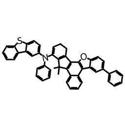 CC1(C)C2=C(CCC=C2N(c2ccccc2)c2ccc3sc4ccccc4c3c2)c2c1c1ccccc1c1c2oc2ccc(-c3ccccc3)cc21